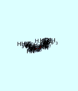 COC(=O)N[C@H](C(=O)N1CCC[C@H]1c1nc(C#Cc2cc3ccc2C[C@@H](C)c2ccc(c(C#Cc4c[nH]c([C@@H]5C[C@@H]6CCCC[C@@H]6N5C(=O)[C@@H](NC(=O)OC)C(C)C)n4)c2)CC3)c[nH]1)C(C)C